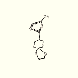 Cc1cnc(C2CCC3(CC2)OCCO3)s1